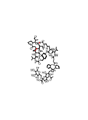 CCC(C)C(C(CC(=O)N1CCCC1C(OC)C(C)C=O)OC)N(C)C(=O)C(NC(=O)C(C(C)C)N(C)C(=O)OCc1ccc(NC(=O)C(CCCNC(N)=O)NC(=O)C(NC(=O)CCC(=O)N2Cc3ccccc3-c3c(nnn3CC(O)C(O)C3OC(OCC4OC(OC)C(O)C(O)C4O)(C(=O)O)CC(O)C3NC(C)=O)-c3ccccc32)C(C)C)cc1)C(C)C